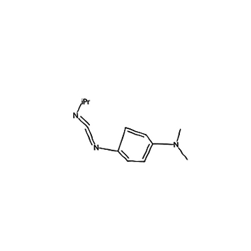 CC(C)N=C=Nc1ccc(N(C)C)cc1